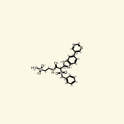 NS(=O)(=O)CCNC(=O)C(c1nc2ccc(-c3cncnc3)cc2s1)S(=O)(=O)Cc1ccccc1